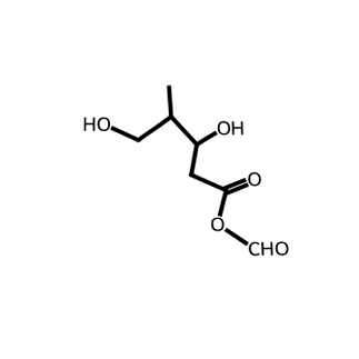 CC(CO)C(O)CC(=O)OC=O